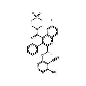 C[C@H](Nc1ncnc(N)c1C#N)c1nc2ccc(F)cc2c(C(=O)N2CCS(=O)(=O)CC2)c1-c1ccccc1